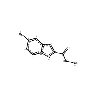 NNC(=O)c1cc2cc(Br)ccc2s1